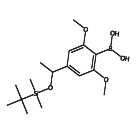 COc1cc(C(C)O[Si](C)(C)C(C)(C)C)cc(OC)c1B(O)O